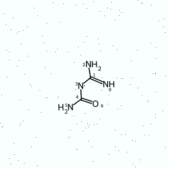 N=C(N)[N]C(N)=O